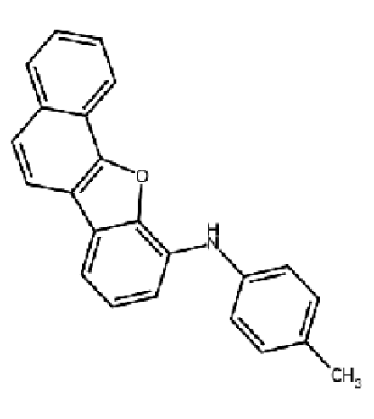 Cc1ccc(Nc2cccc3c2oc2c4ccccc4ccc32)cc1